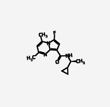 Cc1cc(C)n2c(F)cc(C(=O)N[C@@H](C)C3CC3)c2n1